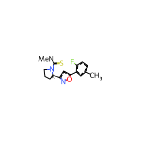 CNC(=S)N1CCC[C@@H]1c1cc(-c2cc(C)ccc2F)on1